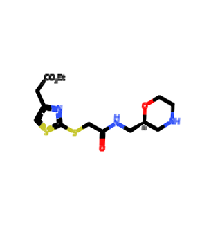 CCOC(=O)Cc1csc(SCC(=O)NC[C@@H]2CNCCO2)n1